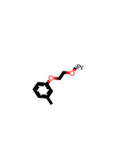 Cc1cccc(OCCOC(C)C)c1